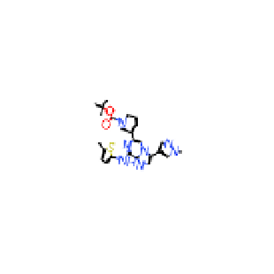 Cc1ccc(Nc2nc(C3=CCCN(C(=O)OC(C)(C)C)C3)cn3c(-c4cnn(C)c4)cnc23)s1